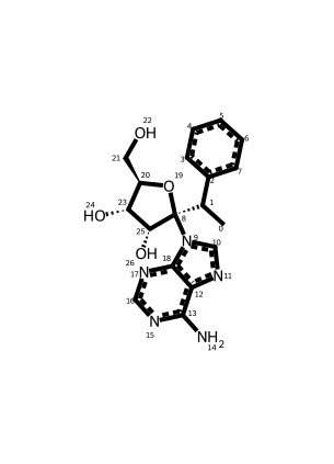 CC(c1ccccc1)[C@@]1(n2cnc3c(N)ncnc32)O[C@H](CO)[C@@H](O)[C@H]1O